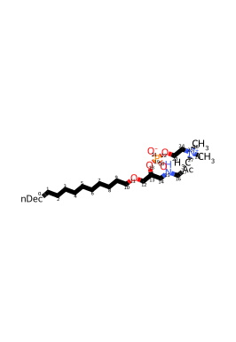 CCCCCCCCCCCCCCCCCCCCOCC(CNCC(C)=O)OP(=O)([O-])OCC[N+](C)(C)C